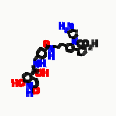 NC1CCC(N(C(=O)O)c2cc(CCCNC(=O)C3CCC(CNC[C@@H](O)c4ccc(O)c5[nH]c(=O)ccc45)CC3)ccc2-c2ccccc2)CC1